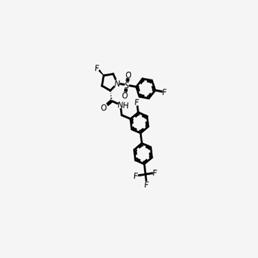 O=C(NCc1cc(-c2ccc(C(F)(F)F)cc2)ccc1F)[C@@H]1C[C@@H](F)CN1S(=O)(=O)c1ccc(F)cc1